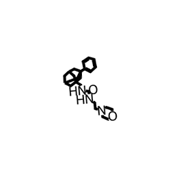 O=C(NCCN1CCOCC1)NCC12CC3CC(C1)CC(c1ccccc1)(C3)C2